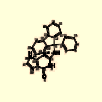 O=c1[nH]c(NC2(c3ccccc3)c3ccccc3-c3ccccc32)nc2[nH]cnc12